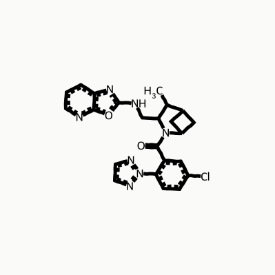 CC1C2CC(C2)N(C(=O)c2cc(Cl)ccc2-n2nccn2)C1CNc1nc2cccnc2o1